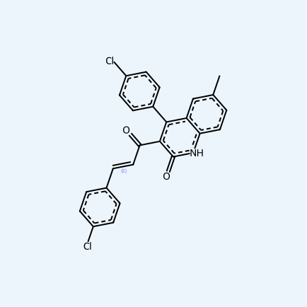 Cc1ccc2[nH]c(=O)c(C(=O)/C=C/c3ccc(Cl)cc3)c(-c3ccc(Cl)cc3)c2c1